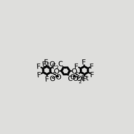 CCOC(=O)c1cc(OS(=O)(=O)c2c(F)c(F)c(F)c(F)c2F)c(C(=O)OCC)cc1OS(=O)(=O)c1c(F)c(F)c(F)c(F)c1F